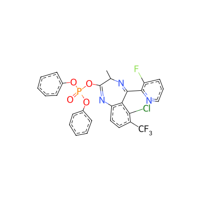 CC1N=C(c2ncccc2F)c2c(ccc(C(F)(F)F)c2Cl)N=C1OP(=O)(Oc1ccccc1)Oc1ccccc1